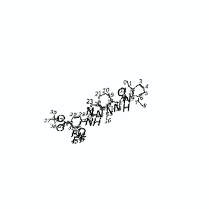 CCc1cccc(CC)c1NC(=O)c1nn(C)c2c1CCCc1cnc(Nc3ccc(C(=O)OC(C)(C)C)cc3OC(F)(F)F)nc1-2